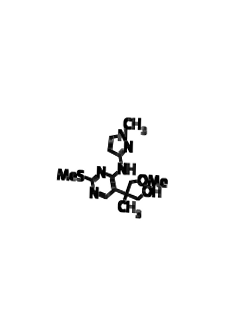 COCC(C)(CO)c1cnc(SC)nc1Nc1ccn(C)n1